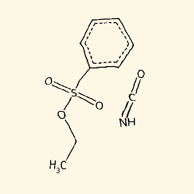 CCOS(=O)(=O)c1ccccc1.N=C=O